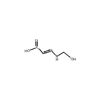 O=S(O)C=NNCO